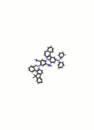 CC1(C)c2ccccc2-c2ccc3c(c21)-c1ccccc1CN3c1cc(C#N)c(-n2c3c(c4cc(N(c5ccccc5)c5ccccc5)ccc42)C2C=CC=CC2C=C3)cc1C#N